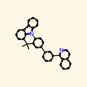 CC1(C)c2cc(-c3cccc(-c4nccc5ccccc45)c3)ccc2-n2c3ccccc3c3cccc1c32